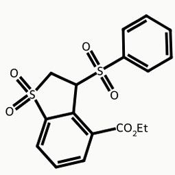 CCOC(=O)c1cccc2c1C(S(=O)(=O)c1ccccc1)CS2(=O)=O